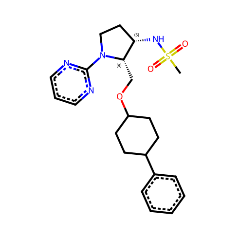 CS(=O)(=O)N[C@H]1CCN(c2ncccn2)[C@H]1COC1CCC(c2ccccc2)CC1